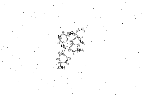 NC(=O)c1nnc2[nH]cc(C(=O)c3ccc(O)cc3)c2c1-c1ccncc1N